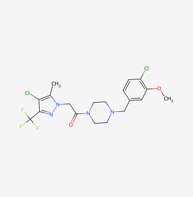 COc1cc(CN2CCN(C(=O)Cn3nc(C(F)(F)F)c(Cl)c3C)CC2)ccc1Cl